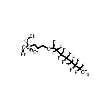 CCO[Si](CCCOC(F)C(F)(F)C(F)(F)C(F)(F)C(F)(F)C(F)(F)C(F)(F)C(F)(F)F)(OCC)OCC